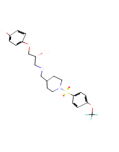 O=S(=O)(c1ccc(OC(F)(F)F)cc1)N1CCC(CNC[C@H](O)COc2ccc(O)cc2)CC1